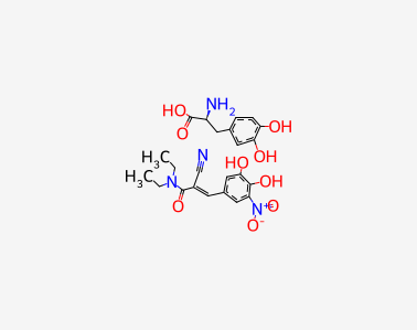 CCN(CC)C(=O)/C(C#N)=C/c1cc(O)c(O)c([N+](=O)[O-])c1.N[C@@H](Cc1ccc(O)c(O)c1)C(=O)O